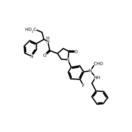 O=CN(NCc1ccccc1)c1cc(N2CC(C(=O)NC(CC(=O)O)c3cccnc3)CC2=O)ccc1F